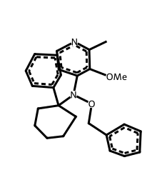 COc1c(N(OCc2ccccc2)C2(c3ccccc3)CCCCC2)ccnc1C